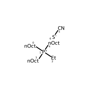 CCCCCCCC[P+](CC)(CCCCCCCC)CCCCCCCC.N#C[S-]